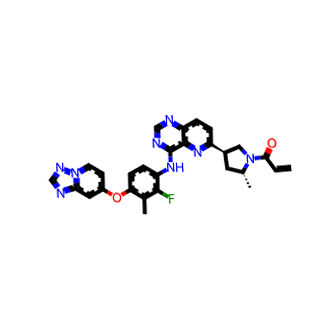 C=CC(=O)N1C[C@H](c2ccc3ncnc(Nc4ccc(Oc5ccn6ncnc6c5)c(C)c4F)c3n2)C[C@H]1C